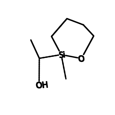 CC(O)[Si]1(C)CCCCO1